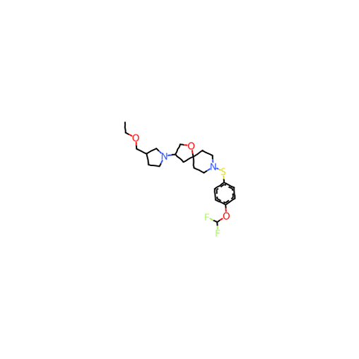 CCOCC1CCN(C2COC3(CCN(Sc4ccc(OC(F)F)cc4)CC3)C2)C1